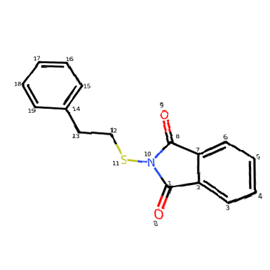 O=C1c2ccccc2C(=O)N1SCCc1ccccc1